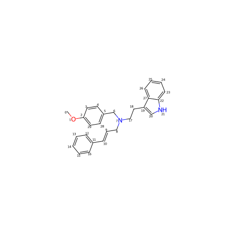 COc1ccc(CN(CC=Cc2ccccc2)CCc2c[nH]c3ccccc23)cc1